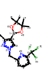 Cc1nn(Cc2cccc(C(F)(F)F)n2)cc1B1OC(C)(C)C(C)(C)O1